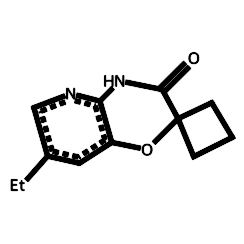 CCc1cnc2c(c1)OC1(CCC1)C(=O)N2